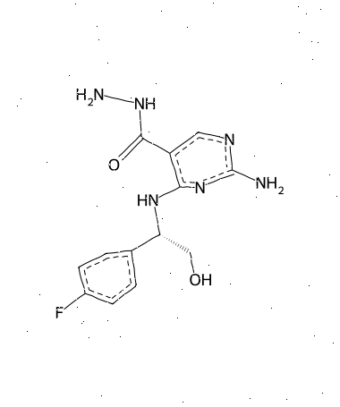 NNC(=O)c1cnc(N)nc1N[C@H](CO)c1ccc(F)cc1